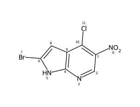 O=[N+]([O-])c1cnc2[nH]c(Br)cc2c1Cl